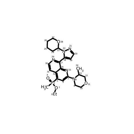 CCOP(C)(=O)c1cc(N2CCOCC2C)nc2c(-c3ccnn3C3CCCCO3)nccc12